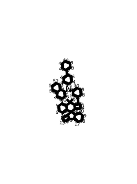 CC1(C)c2ccccc2C2(c3ccccc3-c3ccccc32)c2cccc(-c3cccc(N(c4ccc(-c5ccccc5)cc4)c4cccc5ccccc45)c3)c21